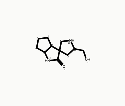 O=C1NC2CCCC2C12CNC(CO)C2